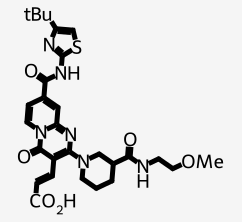 COCCNC(=O)C1CCCN(c2nc3cc(C(=O)Nc4nc(C(C)(C)C)cs4)ccn3c(=O)c2C=CC(=O)O)C1